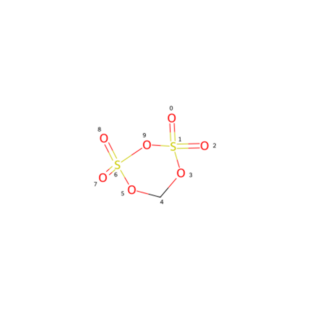 O=S1(=O)OCOS(=O)(=O)O1